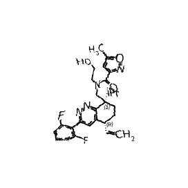 C=C[C@H]1CC[C@@](CN(CCO)C(=O)c2cc(C)on2)(C(C)C)c2nnc(-c3c(F)cccc3F)cc21